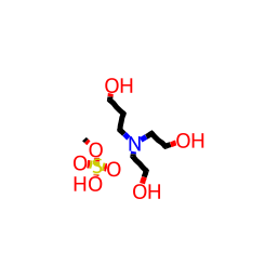 COS(=O)(=O)O.OCCCN(CCO)CCO